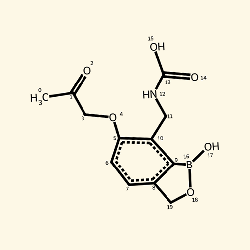 CC(=O)COc1ccc2c(c1CNC(=O)O)B(O)OC2